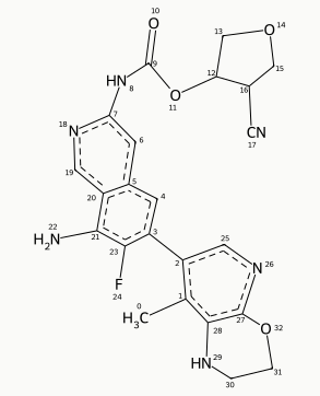 Cc1c(-c2cc3cc(NC(=O)OC4COCC4C#N)ncc3c(N)c2F)cnc2c1NCCO2